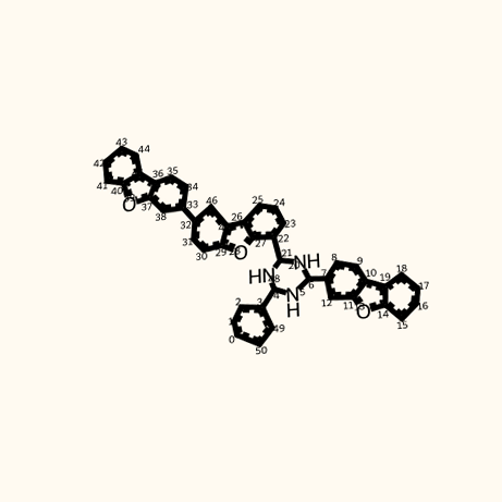 c1ccc(C2NC(c3ccc4c(c3)oc3ccccc34)NC(c3cccc4c3oc3ccc(-c5ccc6c(c5)oc5ccccc56)cc34)N2)cc1